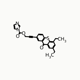 CCc1cc(CC)c2sc3ccc(C#CCOC(=O)n4ccnc4)cc3c(=O)c2c1